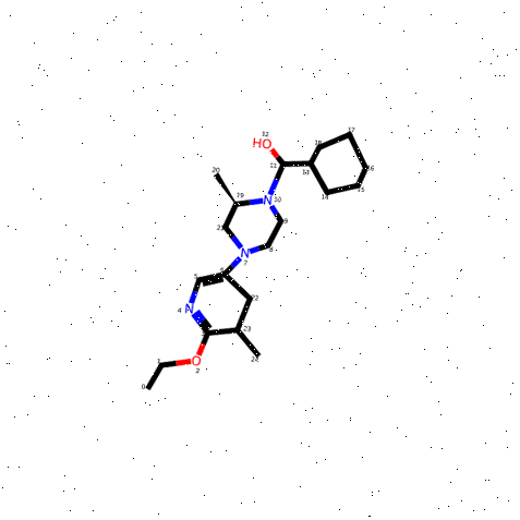 CCOC1=NC=C(N2CCN(C(O)C3CCCCC3)[C@H](C)C2)CC1C